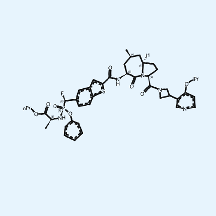 CCCOC(=O)[C@H](C)N[P@](=O)(Oc1ccccc1)[C@@H](F)c1ccc2sc(C(=O)N[C@H]3C[C@@H](C)C[C@H]4CC[C@@H](C(=O)N5CC(c6cnccc6OC(C)C)C5)N4C3=O)cc2c1